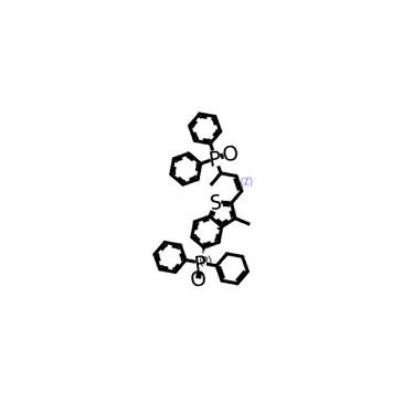 Cc1c(/C=C\C(C)P(=O)(c2ccccc2)c2ccccc2)sc2ccc([P@@](=O)(C3=CC=CCC3)c3ccccc3)cc12